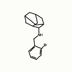 Brc1ccccc1CNC1C2CC3CC(C2)CC1C3